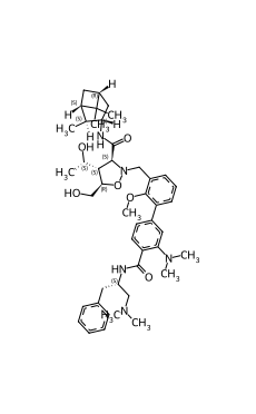 COc1c(CN2O[C@@H](CO)[C@H]([C@H](C)O)[C@H]2C(=O)N[C@H]2C[C@H]3C[C@@H]([C@@H]2C)C3(C)C)cccc1-c1ccc(C(=O)N[C@@H](Cc2ccccc2)CN(C)C)c(N(C)C)c1